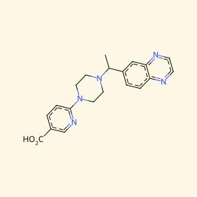 CC(c1ccc2nccnc2c1)N1CCN(c2ccc(C(=O)O)cn2)CC1